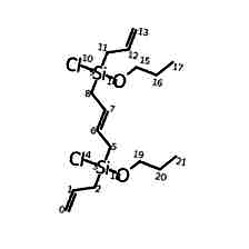 C=CC[Si](Cl)(CC=CC[Si](Cl)(CC=C)OCCC)OCCC